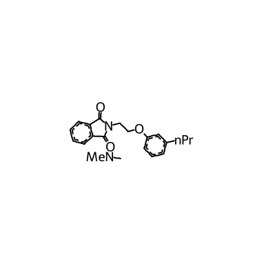 CCCc1cccc(OCCN2C(=O)c3ccccc3C2=O)c1.CNC